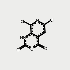 O=c1[nH]c2c(Cl)nc(Cl)cc2c(=O)o1